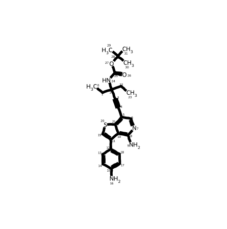 CCC(C#Cc1cnc(N)c2c(-c3ccc(N)cc3)csc12)(CC)NC(=O)OC(C)(C)C